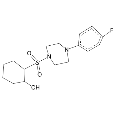 O=S(=O)(C1CCCCC1O)N1CCN(c2ccc(F)cc2)CC1